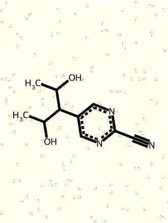 CC(O)C(c1cnc(C#N)nc1)C(C)O